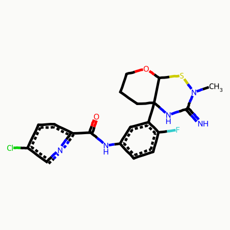 CN1SC2OCCCC2(c2cc(NC(=O)c3ccc(Cl)cn3)ccc2F)NC1=N